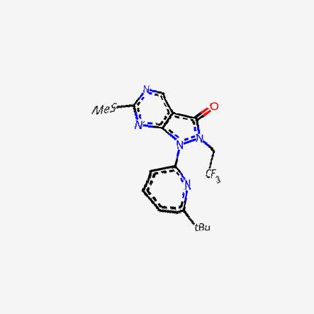 CSc1ncc2c(=O)n(CC(F)(F)F)n(-c3cccc(C(C)(C)C)n3)c2n1